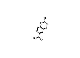 O=C(O)c1ccc(OC(F)F)c(I)c1